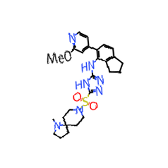 COc1cc(-c2ccc3c(c2Nc2nnc(S(=O)(=O)N4CCC5(CCCN5C)CC4)[nH]2)CCC3)ccn1